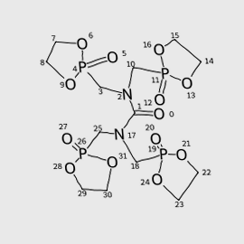 O=C(N(CP1(=O)OCCO1)CP1(=O)OCCO1)N(CP1(=O)OCCO1)CP1(=O)OCCO1